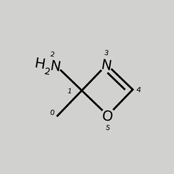 CC1(N)N=CO1